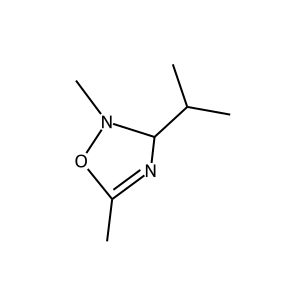 CC1=NC(C(C)C)N(C)O1